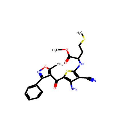 COC(=O)C(CCSC)Nc1sc(C(=O)c2c(-c3ccccc3)noc2C)c(N)c1C#N